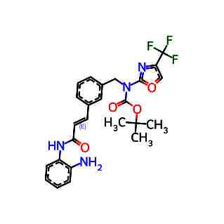 CC(C)(C)OC(=O)N(Cc1cccc(/C=C/C(=O)Nc2ccccc2N)c1)c1nc(C(F)(F)F)co1